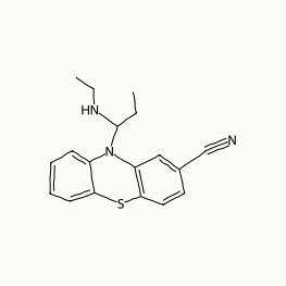 CCNC(CC)N1c2ccccc2Sc2ccc(C#N)cc21